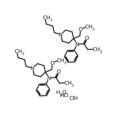 CCCCN1CCC(COC)(N(C(=O)CC)c2ccccc2)CC1.CCCCN1CCC(COC)(N(C(=O)CC)c2ccccc2)CC1.Cl.Cl.O